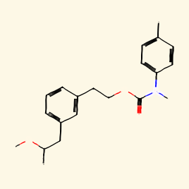 CCOC(Cc1cccc(CCOC(=O)N(C)c2ccc(C)cc2)c1)C(=O)O